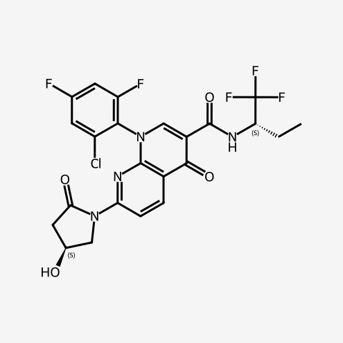 CC[C@H](NC(=O)c1cn(-c2c(F)cc(F)cc2Cl)c2nc(N3C[C@@H](O)CC3=O)ccc2c1=O)C(F)(F)F